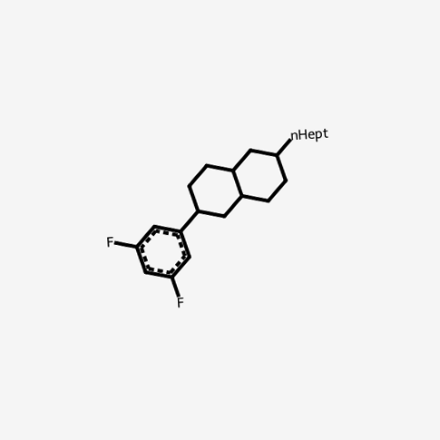 CCCCCCCC1CCC2CC(c3cc(F)cc(F)c3)CCC2C1